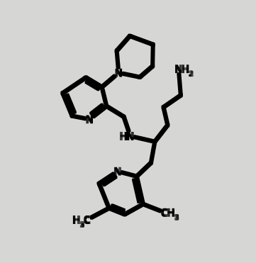 Cc1cnc(CC(CCCN)NCc2ncccc2N2CCCCC2)c(C)c1